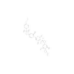 CCCc1ccc(C(F)(F)Oc2ccc(-c3cc(F)c(C(F)(F)Oc4cc(F)c(OCF)c(F)c4)c(F)c3)c(F)c2)cc1